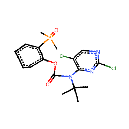 CC(C)(C)N(C(=O)Oc1ccccc1P(C)(C)=O)c1nc(Cl)ncc1Cl